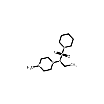 CCN(N1CCN(C)CC1)S(=O)(=O)N1CC[CH]CC1